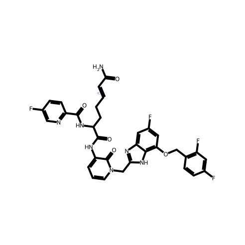 NC(=O)/C=C/CCC(NC(=O)c1ccc(F)cn1)C(=O)Nc1cccn(Cc2nc3cc(F)cc(OCc4ccc(F)cc4F)c3[nH]2)c1=O